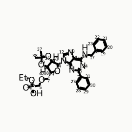 CCOP(=O)(O)COC[C@H]1O[C@@H](n2cnc3c(NCc4ccccc4)nc(-c4ccccc4)nc32)[C@@H]2OC(C)(C)O[C@@H]21